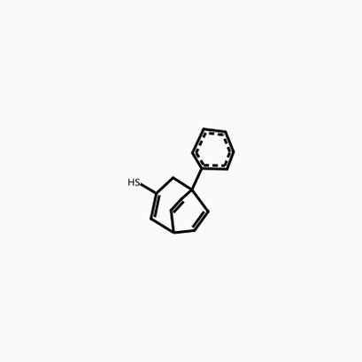 SC1=CC2C=CC(c3ccccc3)(C=C2)C1